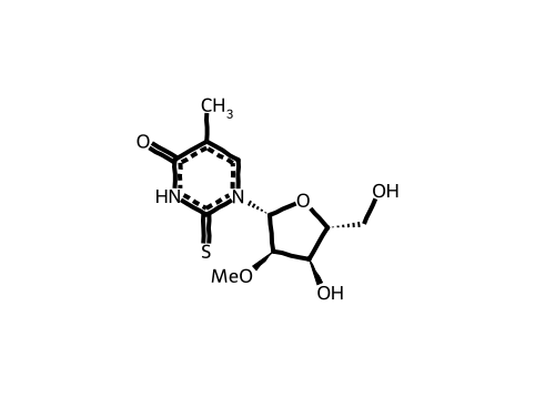 CO[C@@H]1[C@H](O)[C@@H](CO)O[C@H]1n1cc(C)c(=O)[nH]c1=S